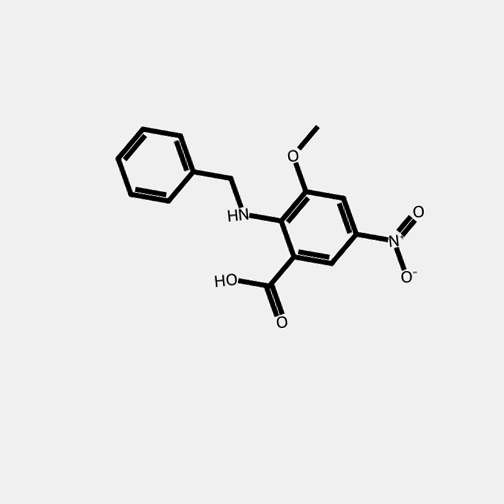 COc1cc([N+](=O)[O-])cc(C(=O)O)c1NCc1ccccc1